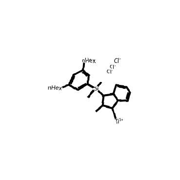 CCCCCCc1cc(CCCCCC)cc([Si](C)(C)C2C(C)[CH]([Ti+3])C3C=CC=CC32)c1.[Cl-].[Cl-].[Cl-]